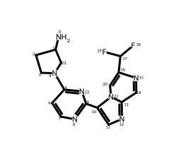 NC1CCN(c2ccnc(-c3cnc4cnc(C(F)F)cn34)n2)C1